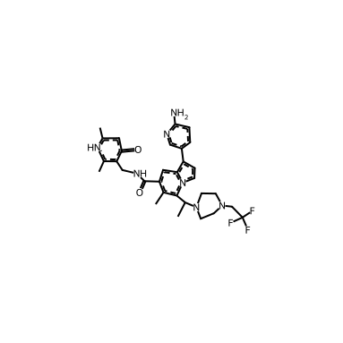 Cc1cc(=O)c(CNC(=O)c2cc3c(-c4ccc(N)nc4)ccn3c(C(C)N3CCN(CC(F)(F)F)CC3)c2C)c(C)[nH]1